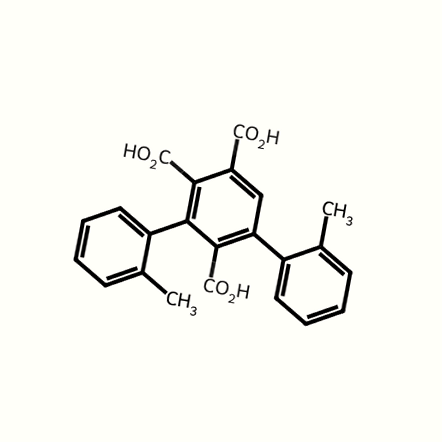 Cc1ccccc1-c1cc(C(=O)O)c(C(=O)O)c(-c2ccccc2C)c1C(=O)O